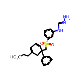 NN=CNc1cccc(S(=O)(=O)CC2(c3ccccc3)C=CC=C(CCC(=O)O)C2)c1